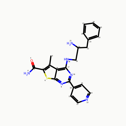 Cc1c(C(N)=O)sc2nc(-c3ccncc3)nc(NCC(N)Cc3ccccc3)c12